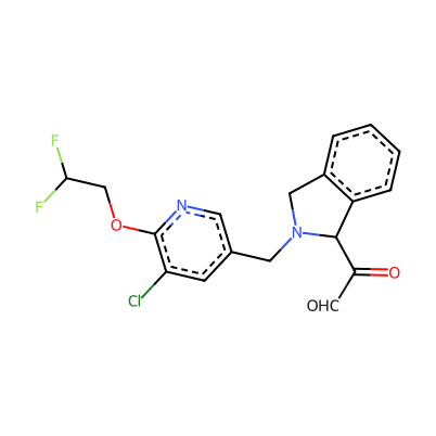 O=CC(=O)C1c2ccccc2CN1Cc1cnc(OCC(F)F)c(Cl)c1